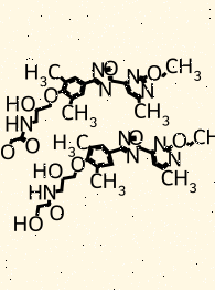 CCOc1nc(C)cc(-c2nc(-c3cc(C)c(OCC(O)CNC(=O)CO)c(C)c3)no2)n1.CCOc1nc(C)cc(-c2nc(-c3cc(C)c(OCC(O)CNC(=O)CO)c(C)c3)no2)n1